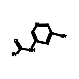 CC(C)C(=O)Nc1cncc(C(C)C)c1